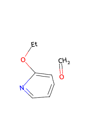 C=O.CCOc1ccccn1